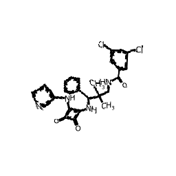 CC(C)(CNC(=O)c1cc(Cl)cc(Cl)c1)C(Nc1c(Nc2cccnc2)c(=O)c1=O)c1ccccc1